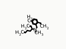 C=CCCC(C=C)N(C)Cc1cc(C)ccc1C=C